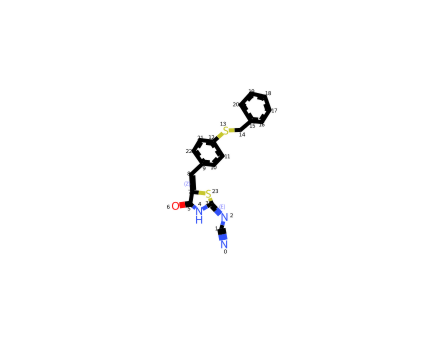 N#C/N=C1\NC(=O)/C(=C/c2ccc(SCc3ccccc3)cc2)S1